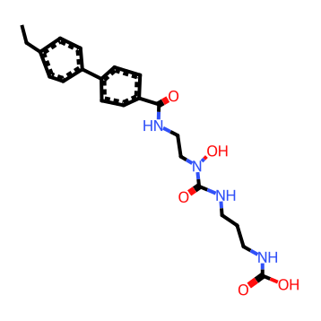 CCc1ccc(-c2ccc(C(=O)NCCN(O)C(=O)NCCCNC(=O)O)cc2)cc1